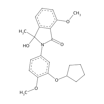 COc1ccc(N2C(=O)c3c(OC)cccc3C2(C)O)cc1OC1CCCC1